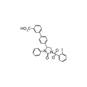 O=C(O)c1cccc(-c2ccc(C3CN(S(=O)(=O)c4ccccc4I)C(=O)N3c3ccccc3)cc2)c1